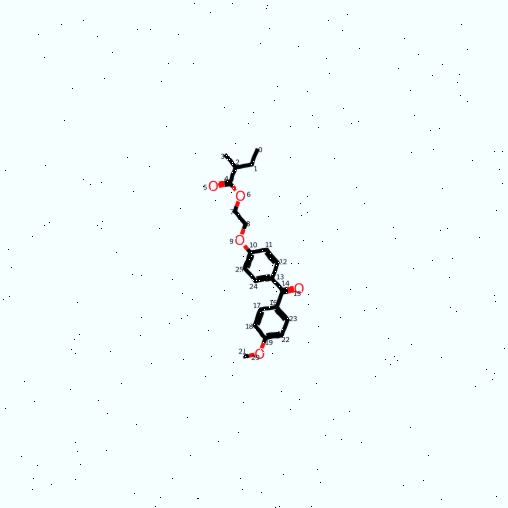 CCC(C)C(=O)OCCOc1ccc(C(=O)c2ccc(OC)cc2)cc1